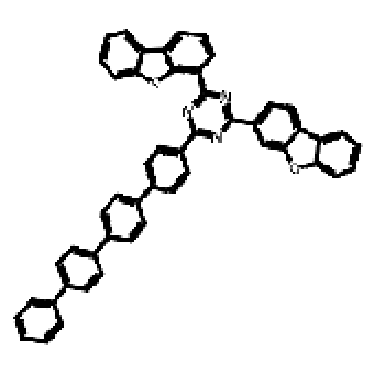 c1ccc(-c2ccc(-c3ccc(-c4ccc(-c5nc(-c6ccc7c(c6)oc6ccccc67)nc(-c6cccc7c6sc6ccccc67)n5)cc4)cc3)cc2)cc1